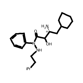 CC(C)CCNN(C(=O)C(O)[C@H](N)CC1CCCCC1)c1ccccc1